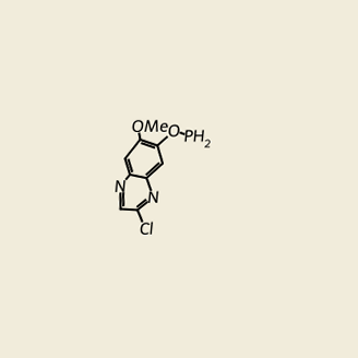 COc1cc2ncc(Cl)nc2cc1OP